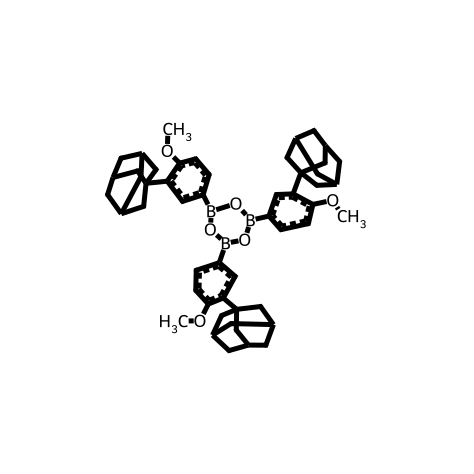 COc1ccc(B2OB(c3ccc(OC)c(C45CC6CC(CC(C6)C4)C5)c3)OB(c3ccc(OC)c(C45CC6CC(CC(C6)C4)C5)c3)O2)cc1C12CC3CC(CC(C3)C1)C2